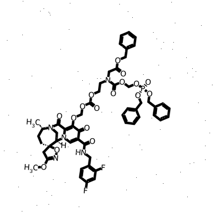 COC1=NO[C@@]2(CC[C@H](C)N3C[C@H]2n2cc(C(=O)NCc4ccc(F)cc4F)c(=O)c(OCOC(=O)OCCN(CC(=O)OCc4ccccc4)C(=O)OCOP(=O)(OCc4ccccc4)OCc4ccccc4)c2C3=O)C1